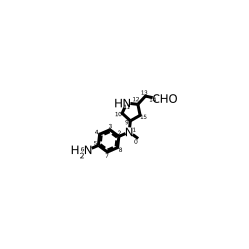 CN(c1ccc(N)cc1)C1CNC(CC=O)C1